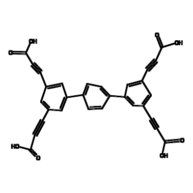 O=C(O)C#Cc1cc(C#CC(=O)O)cc(-c2ccc(-c3cc(C#CC(=O)O)cc(C#CC(=O)O)c3)cc2)c1